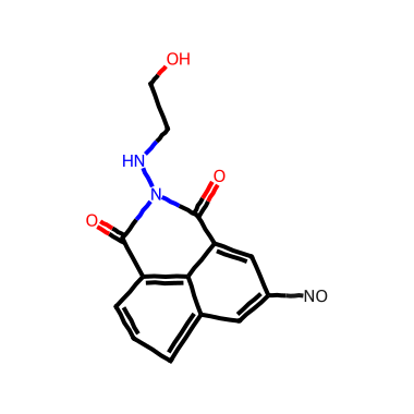 O=Nc1cc2c3c(cccc3c1)C(=O)N(NCCO)C2=O